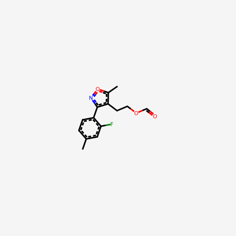 Cc1ccc(-c2noc(C)c2CCOC=O)c(F)c1